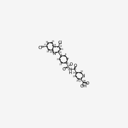 O=C(NS(=O)(=O)c1ccc(-c2cc(Cl)c3ccc(Cl)cc3n2)cc1)c1ccc(C(=O)O)nc1